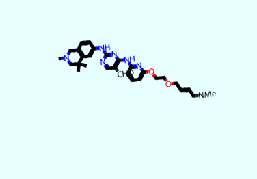 CNC/C=C/COCCOc1cccc(Nc2nc(Nc3ccc4c(c3)C(C)(C)CN(C)C4)ncc2C=O)n1